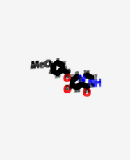 COc1ccc(COc2cn3c(cc2=O)C(=O)NCC3)cc1